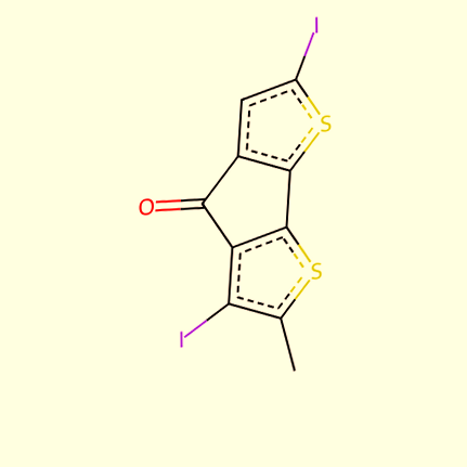 Cc1sc2c(c1I)C(=O)c1cc(I)sc1-2